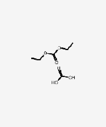 CCOC(=O)OCC.O=C(O)O